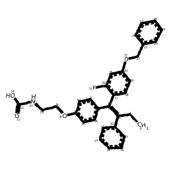 CCC(=C(c1ccc(OCCNC(=O)O)cc1)c1ccc(OCc2ccccc2)cc1F)c1ccccc1